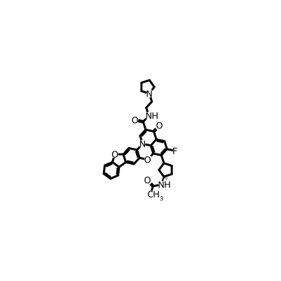 CC(=O)N[C@@H]1CCC(c2c(F)cc3c(=O)c(C(=O)NCCN4CCCC4)cn4c3c2Oc2cc3c(cc2-4)oc2ccccc23)C1